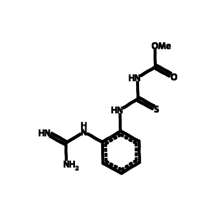 COC(=O)NC(=S)Nc1ccccc1NC(=N)N